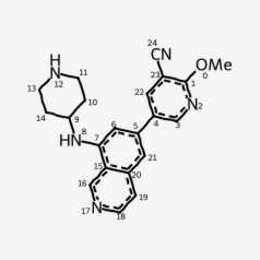 COc1ncc(-c2cc(NC3CCNCC3)c3cnccc3c2)cc1C#N